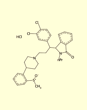 CCCN1C(=O)c2ccccc2C1C(CCN1CCC(c2ccccc2[S+](C)[O-])CC1)c1ccc(Cl)c(Cl)c1.Cl